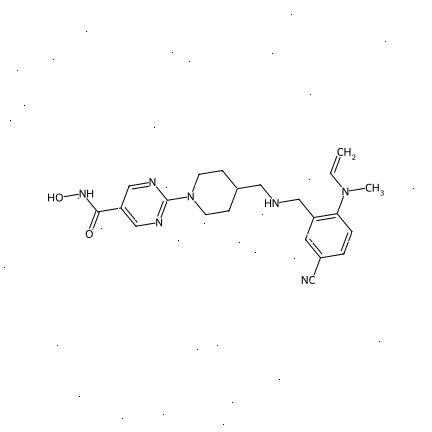 C=CN(C)c1ccc(C#N)cc1CNCC1CCN(c2ncc(C(=O)NO)cn2)CC1